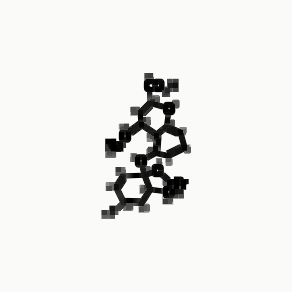 CCCOC1(Oc2cccc3oc(C(=O)O)cc(=O)c23)C=CC(F)=CC1O.[Na]